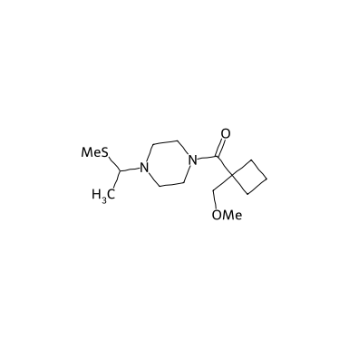 COCC1(C(=O)N2CCN(C(C)SC)CC2)CCC1